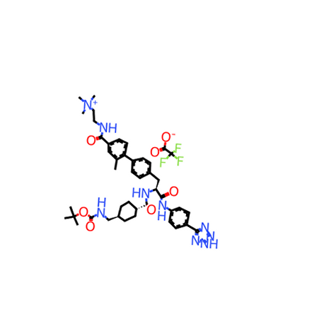 Cc1cc(C(=O)NCC[N+](C)(C)C)ccc1-c1ccc(C[C@H](NC(=O)[C@H]2CC[C@H](CNC(=O)OC(C)(C)C)CC2)C(=O)Nc2ccc(-c3nn[nH]n3)cc2)cc1.O=C([O-])C(F)(F)F